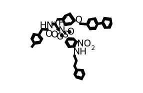 Cc1ccc(CC(=O)N[C@@H](Cc2ccc(OCc3ccc(-c4ccccc4)cc3)cc2)C(=O)NS(=O)(=O)c2ccc(NCCCc3ccccc3)c([N+](=O)[O-])c2)cc1